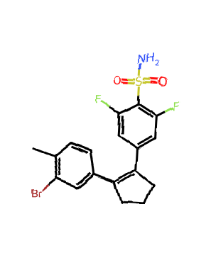 Cc1ccc(C2=C(c3cc(F)c(S(N)(=O)=O)c(F)c3)CCC2)cc1Br